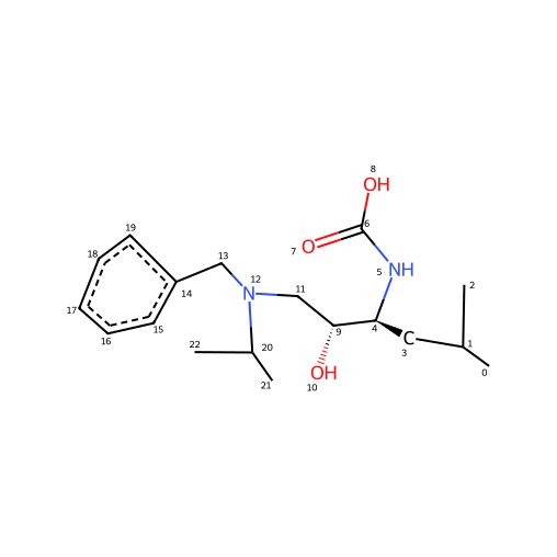 CC(C)C[C@H](NC(=O)O)[C@H](O)CN(Cc1ccccc1)C(C)C